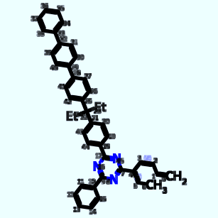 C=C/C=C\C(=C/C)c1nc(-c2ccccc2)nc(-c2ccc(C(CC)(CC)c3ccc(-c4ccc(-c5ccccc5)cc4)cc3)cc2)n1